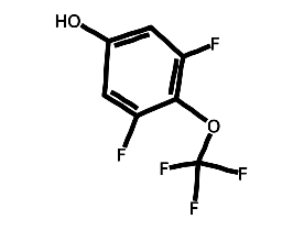 Oc1cc(F)c(OC(F)(F)F)c(F)c1